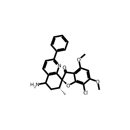 COc1cc(OC)c2c(c1Cl)O[C@]1(C2=O)c2nc(-c3ccccc3)ccc2C(N)C[C@H]1C